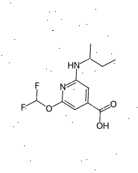 CCC(C)Nc1cc(C(=O)O)cc(OC(F)F)n1